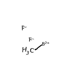 [B+2]C.[F-].[F-]